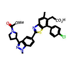 COC(=O)N1CCC(c2nn(C)c3ccc(-c4nc5cc(C)c(CC(=O)O)c(-c6ccc(Cl)cc6)c5s4)cc23)C1